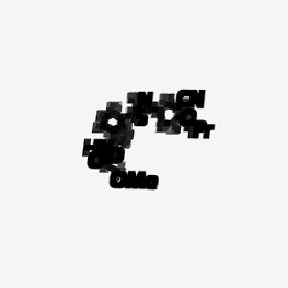 COCCS(=O)(=O)N[C@H]1CCc2c(-c3cnc(C4=CCC(OC(C)C)C(C#N)=C4)s3)cccc21